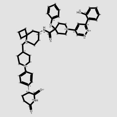 O=C1CC[C@H](c2ccc(N3CCC(CN4CC[C@@H](NC(=O)C5(Oc6ccccc6)CCN(c6cnnc(-c7ccccc7O)c6)CC5)CC45CCC5)CC3)cc2)C(=O)N1